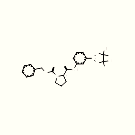 CC1(C)OB(c2cccc(NC(=O)C3CCCN3C(=O)OCc3ccccc3)c2)OC1(C)C